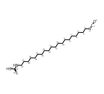 O=C=NCCCCCCCCCCCCCCCCCCCCNC(=S)S